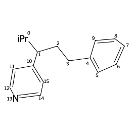 CC(C)C(CCc1ccccc1)c1ccncc1